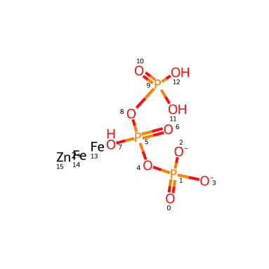 O=P([O-])([O-])OP(=O)(O)OP(=O)(O)O.[Fe].[Fe].[Zn+2]